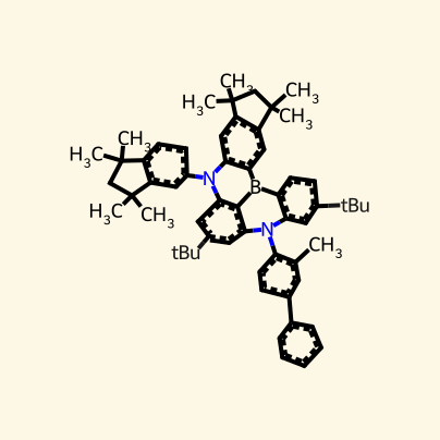 Cc1cc(-c2ccccc2)ccc1N1c2cc(C(C)(C)C)ccc2B2c3cc4c(cc3N(c3ccc5c(c3)C(C)(C)CC5(C)C)c3cc(C(C)(C)C)cc1c32)C(C)(C)CC4(C)C